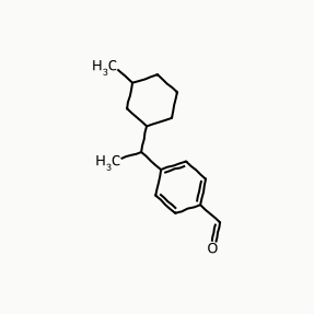 CC1CCCC(C(C)c2ccc(C=O)cc2)C1